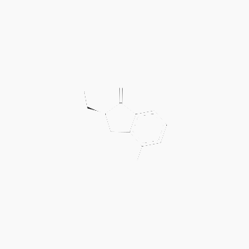 O=CC[C@@H]1Cc2c(Cl)cccc2C1=O